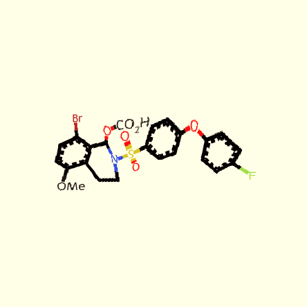 COc1ccc(Br)c2c1CCN(S(=O)(=O)c1ccc(Oc3ccc(F)cc3)cc1)C2OC(=O)O